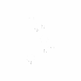 O=C(c1ccc(-c2ncc(C(F)(F)F)cn2)cc1)N1CCC(c2cccnc2)C1